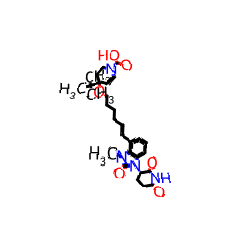 Cn1c(=O)n(C2CCC(=O)NC2=O)c2cccc(CCCCCCOC3(C(C)(C)C)CCN(C(=O)O)CC3)c21